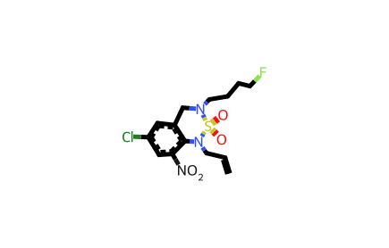 C=CCN1c2c(cc(Cl)cc2[N+](=O)[O-])CN(CCCCF)S1(=O)=O